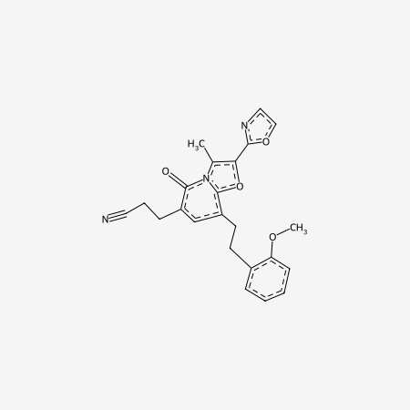 COc1ccccc1CCc1cc(CCC#N)c(=O)n2c(C)c(-c3ncco3)oc12